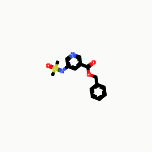 CS(C)(=O)=Nc1cncc(C(=O)OCc2ccccc2)c1